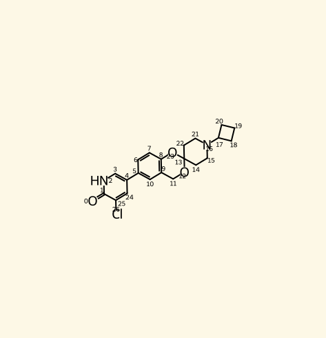 O=c1[nH]cc(-c2ccc3c(c2)COC2(CCN(C4CCC4)CC2)O3)cc1Cl